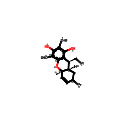 CC(C)C[C@H]1c2c(O)c(C=O)c(O)c(C=O)c2O[C@]2(C)C=CC(C(C)C)C[C@H]12